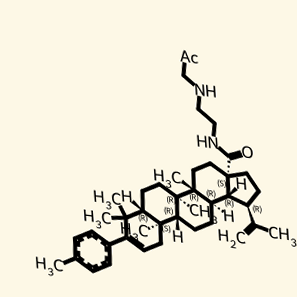 C=C(C)[C@@H]1CC[C@]2(C(=O)NCCNCC(C)=O)CC[C@]3(C)[C@H](CC[C@@H]4[C@@]5(C)CC=C(c6ccc(C)cc6)C(C)(C)[C@@H]5CC[C@]43C)[C@@H]12